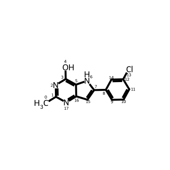 Cc1nc(O)c2[nH]c(-c3cccc(Cl)c3)cc2n1